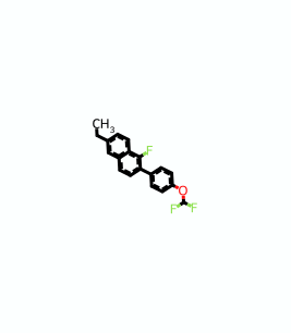 CCc1ccc2c(F)c(-c3ccc(OC(F)F)cc3)ccc2c1